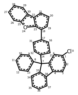 Clc1ccc2c(c1)C(c1ccccc1)(c1ccc(-c3cccc4c3oc3ccccc34)cc1)c1ccccc1-2